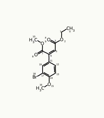 CCOC(=O)/C=C(\C(=O)OC)c1ccc(OC)c(Br)c1